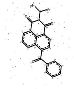 CCCC(CCC)N1C(=O)c2cccc3c(C(=O)c4ccccc4)ccc(c23)C1=O